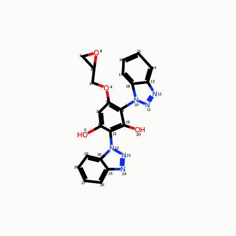 Oc1cc(OCC2CO2)c(-n2nnc3ccccc32)c(O)c1-n1nnc2ccccc21